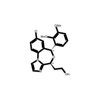 COc1cccc([C@@H]2O[C@@H](CCO)c3nccn3-c3ccc(Cl)cc32)c1OC